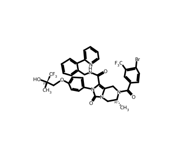 C[C@@H]1Cn2c(c(C(=O)NCc3ccccc3-c3ccccn3)n(-c3ccc(OC[C@](C)(O)C(F)(F)F)cc3)c2=O)CN1C(=O)c1ccc(Br)c(C(F)(F)F)c1